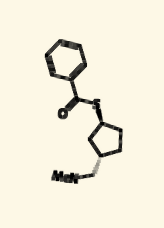 CNC[C@H]1CC[C@H](SC(=O)c2ccccc2)C1